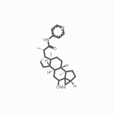 COC1C[C@H]2[C@@H]3CC[C@H]([C@H](C)C(=O)Nc4ccncc4)[C@@]3(C)CC[C@@H]2[C@@]2(C)CC[C@@H]3CC132